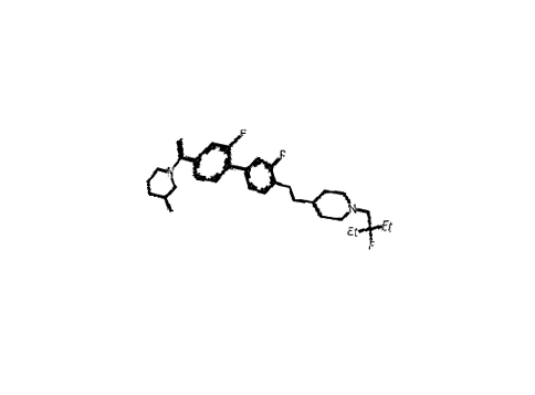 C=C(c1ccc(-c2ccc(CCC3CCN(CC(F)(CC)CC)CC3)c(F)c2)c(F)c1)N1CCCC(C)C1